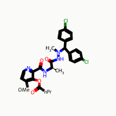 CCCC(=O)Oc1c(OC)ccnc1C(=O)N[C@@H](C)C(=O)NN(C)C(c1ccc(Cl)cc1)c1ccc(Cl)cc1